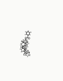 C[C@]12CC[C@@H](OC(=O)c3ccccc3)C[C@@H]1CC[C@@H]1[C@@H]2CC[C@]2(C)[C@@H](C(O)C(=O)O)CC[C@@H]12